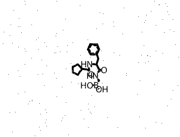 O=C(NC(Cc1ccccc1)C(=O)NCB(O)O)C1CCCC1